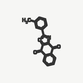 Cc1cccc(-c2nc3c(o2)C(=O)c2ccccc2C3=O)c1